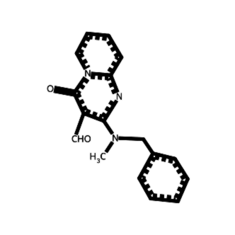 CN(Cc1ccccc1)c1nc2ccccn2c(=O)c1C=O